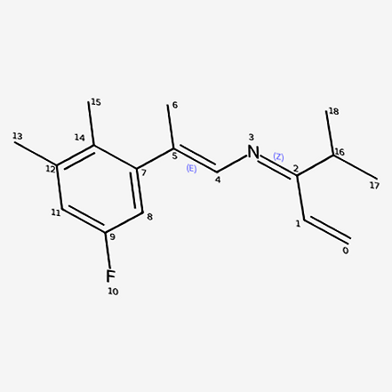 C=C/C(=N\C=C(/C)c1cc(F)cc(C)c1C)C(C)C